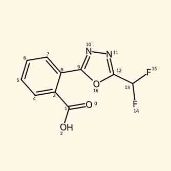 O=C(O)c1ccccc1-c1nnc(C(F)F)o1